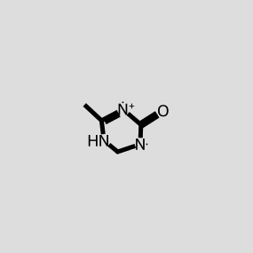 CC1=[N+]C(=O)[N]CN1